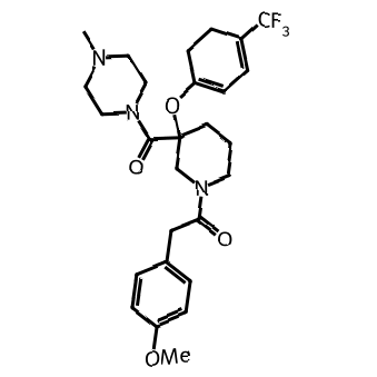 COc1ccc(CC(=O)N2CCCC(OC3=CC=C(C(F)(F)F)CC3)(C(=O)N3CCN(C)CC3)C2)cc1